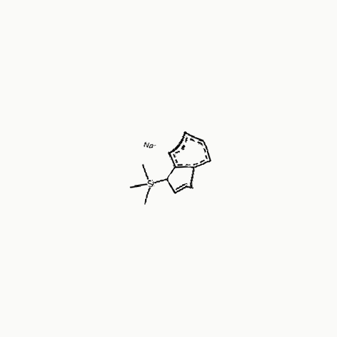 C[Si](C)(C)C1C=Cc2ccccc21.[Na]